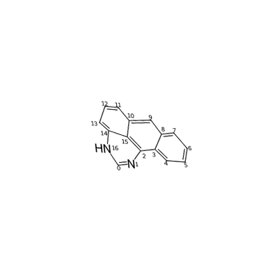 C1=Nc2c3ccccc3cc3cccc(c23)N1